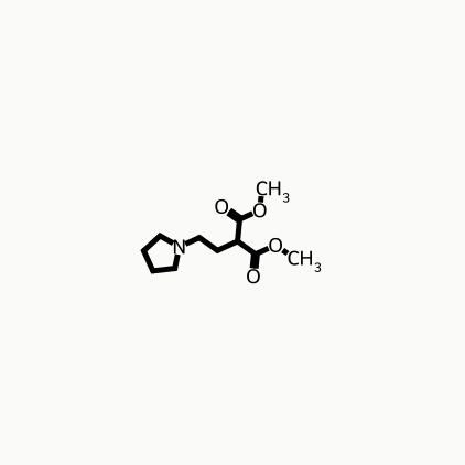 COC(=O)C(CCN1CCCC1)C(=O)OC